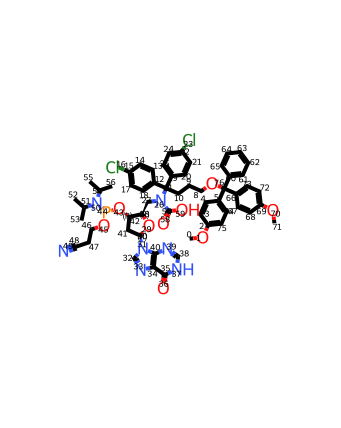 COc1ccc(C(OCCCC(c2ccc(Cl)cc2)(c2ccc(Cl)cc2)N(C[C@H]2O[C@@H](n3cnc4c(=O)[nH]cnc43)C[C@H]2OP(OCCC#N)N(C(C)C)C(C)C)C(=O)O)(c2ccccc2)c2ccc(OC)cc2)cc1